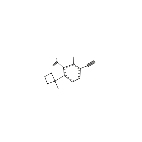 CC1(c2ccc(C#N)c(F)c2C(=O)O)CCC1